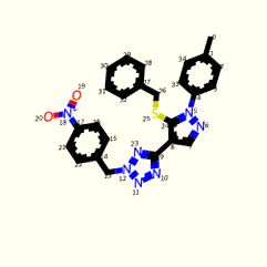 Cc1ccc(-n2ncc(-c3nnn(Cc4ccc([N+](=O)[O-])cc4)n3)c2SCc2ccccc2)cc1